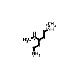 CNCCC(CCN)NC